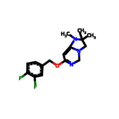 CN1C2=CC(OCc3ccc(F)c(F)c3)=NCN2CC1(C)C